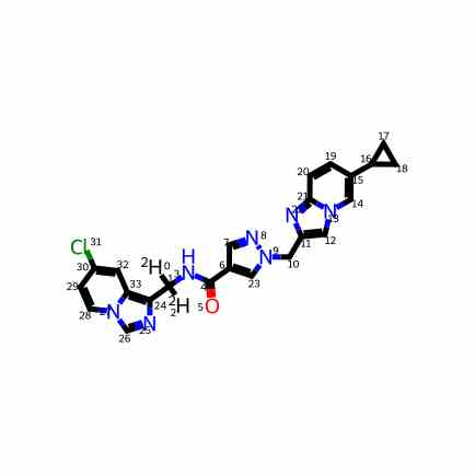 [2H]C([2H])(NC(=O)c1cnn(Cc2cn3cc(C4CC4)ccc3n2)c1)c1ncn2ccc(Cl)cc12